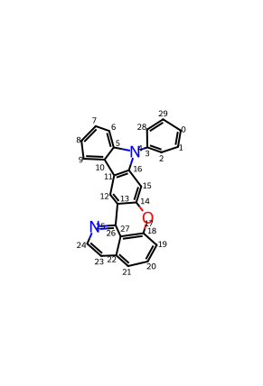 c1ccc(-n2c3ccccc3c3cc4c(cc32)Oc2cccc3ccnc-4c23)cc1